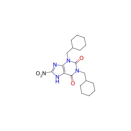 O=c1c2[nH]c([N+](=O)[O-])nc2n(CC2CCCCC2)c(=O)n1CC1CCCCC1